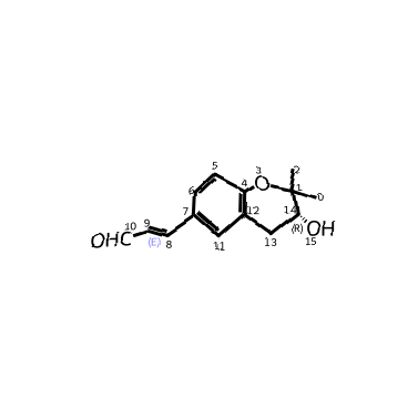 CC1(C)Oc2ccc(/C=C/C=O)cc2C[C@H]1O